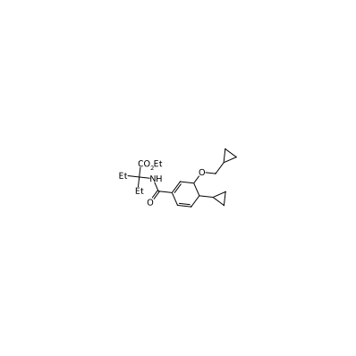 CCOC(=O)C(CC)(CC)NC(=O)C1=CC(OCC2CC2)C(C2CC2)C=C1